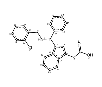 O=C(O)Cc1cn(C(NCc2ccccc2Cl)c2ccccc2)c2ccccc12